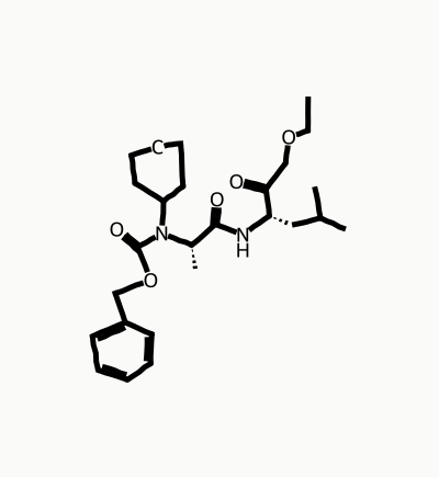 CCOCC(=O)[C@H](CC(C)C)NC(=O)[C@H](C)N(C(=O)OCc1ccccc1)C1CCCCC1